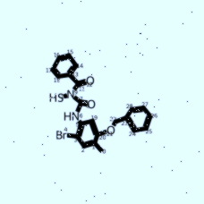 Cc1cc(Br)c(NC(=O)N(S)C(=O)c2ccccc2)cc1OCc1ccccc1